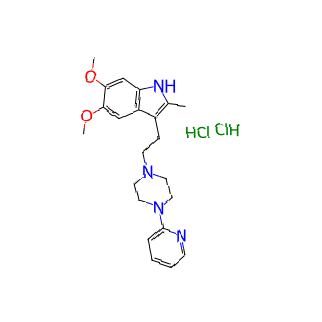 COc1cc2[nH]c(C)c(CCN3CCN(c4ccccn4)CC3)c2cc1OC.Cl.Cl